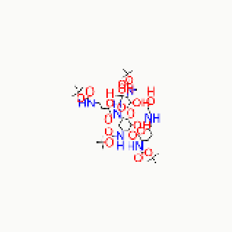 CN(C(=O)OC(C)(C)C)C1C(O)C(OC2C(NC(=O)C(O)CCNC(=O)OC(C)(C)C)CC(NC(=O)OC(C)(C)C)C(OC3OC(CNCCO)CCC3NC(=O)OC(C)(C)C)C2O)OCC1(C)O